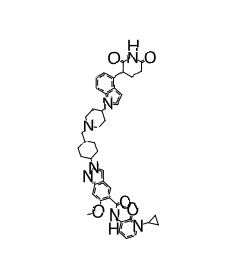 COc1cc2nn(C3CCC(CN4CCC(n5ccc6c(C7CCC(=O)NC7=O)cccc65)CC4)CC3)cc2cc1C(=O)Nc1cccn(C2CC2)c1=O